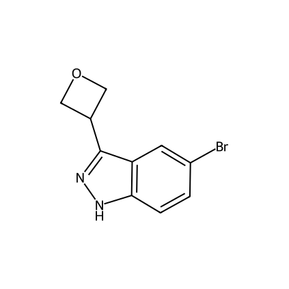 Brc1ccc2[nH]nc(C3COC3)c2c1